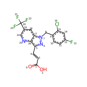 O=C(O)C=Cc1nn(Cc2ccc(F)cc2Cl)c2cc(C(F)(F)F)cnc12